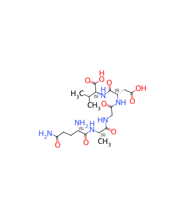 CC(C)[C@H](NC(=O)[C@H](CC(=O)O)NC(=O)CNC(=O)[C@H](C)NC(=O)[C@@H](N)CCC(N)=O)C(=O)O